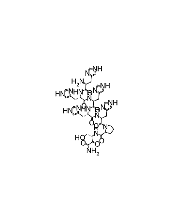 NC(=O)C(=O)[C@H](CO)NC(=O)[C@@H]1CCCN1C(=O)[C@H](Cc1c[nH]cn1)NC(=O)[C@H](Cc1c[nH]cn1)NC(=O)[C@H](Cc1c[nH]cn1)NC(=O)[C@H](Cc1c[nH]cn1)NC(=O)[C@@H](N)Cc1c[nH]cn1